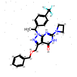 CC(c1ccc(C(F)(F)F)cc1)n1nc(COCc2ccccc2)c2c(=O)[nH]c(N3CCC3)nc21